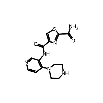 NC(=O)c1nc(C(=O)Nc2cnccc2N2CCNCC2)cs1